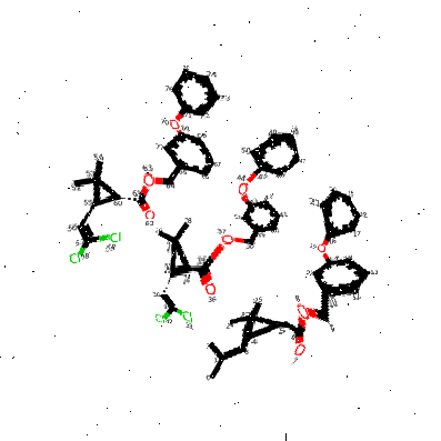 CC(C)=CC1C(C(=O)OCc2cccc(Oc3ccccc3)c2)C1(C)C.CC1(C)[C@@H](C=C(Cl)Cl)[C@@H]1C(=O)OCc1cccc(Oc2ccccc2)c1.CC1(C)[C@H](C=C(Cl)Cl)[C@H]1C(=O)OCc1cccc(Oc2ccccc2)c1